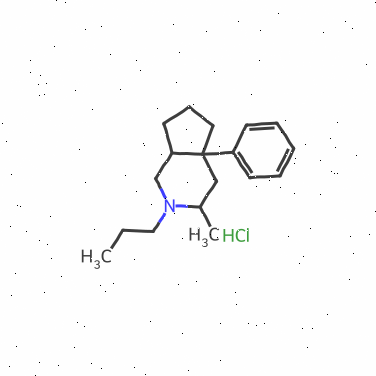 CCCN1CC2CCCC2(c2ccccc2)CC1C.Cl